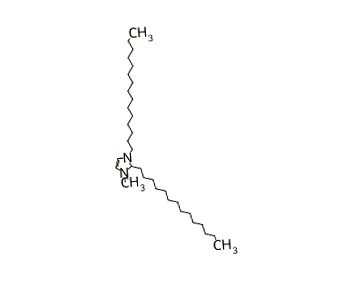 CCCCCCCCCCCCCCCN1C=CN(C)C1CCCCCCCCCCCCCC